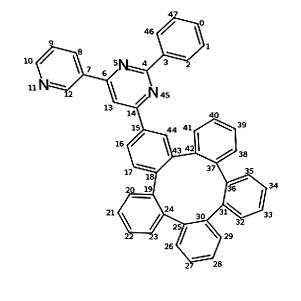 c1ccc(-c2nc(-c3cccnc3)cc(-c3ccc4c5ccccc5c5ccccc5c5ccccc5c5ccccc5c4c3)n2)cc1